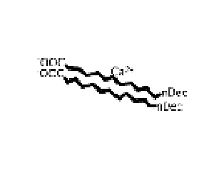 CCCCCCCCCCCCCCCCCCCCCC(=O)[O-].CCCCCCCCCCCCCCCCCCCCCC(=O)[O-].[Ca+2]